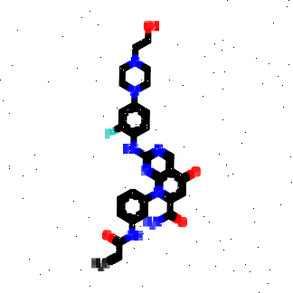 C=CC(=O)Nc1cccc(-n2c(C(N)=O)cc(=O)c3cnc(Nc4ccc(N5CCN(CCO)CC5)cc4F)nc32)c1